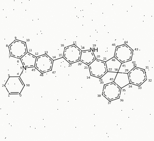 C1=CCCC(n2c3ccccc3c3cc(-c4ccc5[nH]c6c7c(ccc6c5c4)C4(c5ccccc5-c5ccccc54)c4ccccc4-7)ccc32)=C1